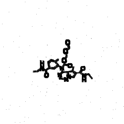 CCNC(=O)c1ccc(C)c(N(C(=O)OCOC=O)c2ncnn3cc(C(=O)NCC)c(C)c23)c1